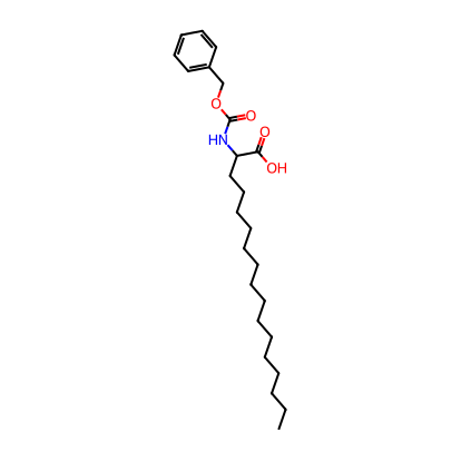 CCCCCCCCCCCCCCCC(NC(=O)OCc1ccccc1)C(=O)O